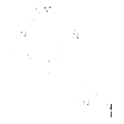 CO[C@H]1CCN(C(=O)N2CCc3cc(-c4cnc5[nH]cc(C)c5c4)cc([C@@H]4CCCN4)c3C2)C1